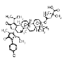 CCn1c([C@@]23CC[C@]4(C)[C@H](CC[C@@H]5[C@@]6(C)CC[C@H](OC(=O)CC(C)(C)C(=O)O)C(C)(C)[C@@H]6CC[C@]54C)C2=C(C(C)C)C(=O)C3)c(C)c(=O)n1-c1ccc(Cl)cc1